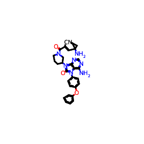 N#CC(=CC1(N)CC1)C(=O)N1CCCC(n2c(=O)n(-c3ccc(Oc4ccccc4)cc3)c3c(N)ncnc32)C1